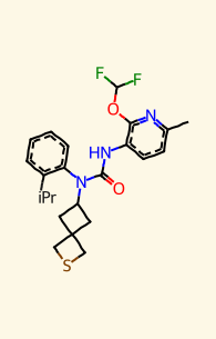 Cc1ccc(NC(=O)N(c2ccccc2C(C)C)C2CC3(CSC3)C2)c(OC(F)F)n1